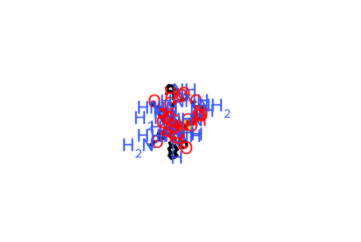 CC(=O)NCCCC[C@@H]1NC(=O)[C@H](Cc2c[nH]c3cccc(C)c23)NC(=O)[C@H]([C@@H](C)O)NC(=O)[C@H](CC(N)=O)NC(=O)[C@@H](NC(C)=O)C(C)(C)SSC(C)(C)[C@@H](C(=O)N[C@@H](Cc2ccc(OCCN)cc2)C(=O)N[C@@H](Cc2ccc3ccccc3c2)C(=O)NC2(C(=O)N[C@@H](CCC(=O)O)C(=O)N[C@@H](CC(N)=O)C(=O)N[C@@H](Cc3cccnc3)C(=O)N(C)CC(N)=O)CCOCC2)NC1=O